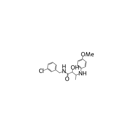 COc1ccc(NC(C)C(O)C(=O)NCc2cccc(Cl)c2)cc1